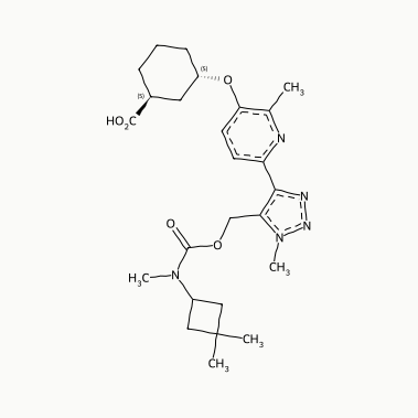 Cc1nc(-c2nnn(C)c2COC(=O)N(C)C2CC(C)(C)C2)ccc1O[C@H]1CCC[C@H](C(=O)O)C1